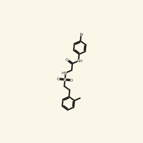 Cc1ccccc1CCS(=O)(=O)NCC(=O)Nc1ccc(Br)cc1